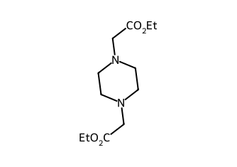 CCOC(=O)CN1CCN(CC(=O)OCC)CC1